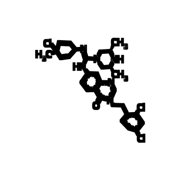 C[C@@H]1CN(/C(=N/C2C=CC(C)(Cl)C=C2)Nc2ccc3c(=O)n(CCc4ccc(Cl)cc4Cl)cnc3c2)C[C@H](C)N1